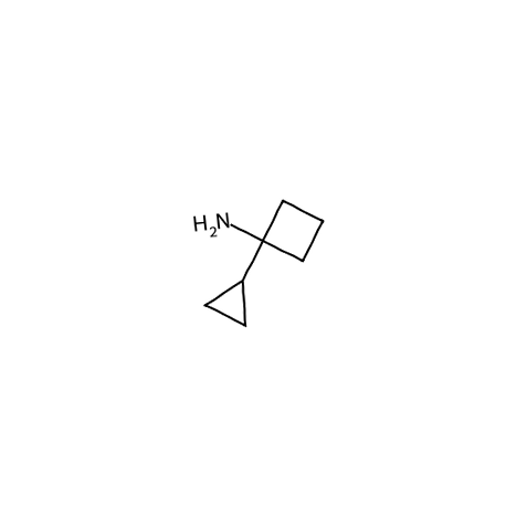 NC1(C2CC2)CCC1